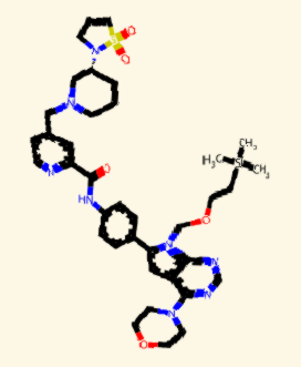 C[Si](C)(C)CCOCn1c(-c2ccc(NC(=O)c3cc(CN4CCC[C@@H](N5CC=CS5(=O)=O)C4)ccn3)cc2)cc2c(N3CCOCC3)ncnc21